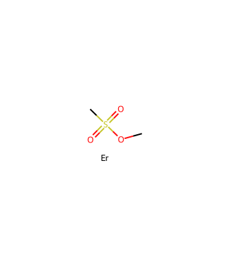 COS(C)(=O)=O.[Er]